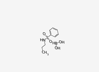 CCCNS(=O)(=O)c1ccccc1.OBO